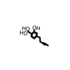 CC#CCCc1ccc(C(O)O)c(O)c1